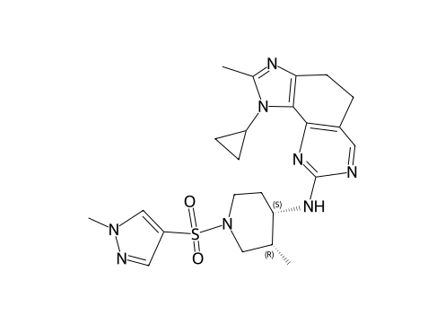 Cc1nc2c(n1C1CC1)-c1nc(N[C@H]3CCN(S(=O)(=O)c4cnn(C)c4)C[C@H]3C)ncc1CC2